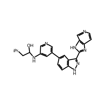 CC(C)CC(O)Nc1cncc(-c2ccc3[nH]nc(-c4nc5ccncc5[nH]4)c3c2)c1